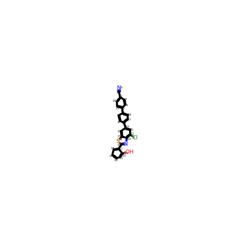 N#Cc1ccc(-c2ccc(-c3cc(Cl)c4nc(-c5ccccc5O)sc4c3)cc2)cc1